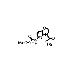 CONC(=O)Nc1ccc2c(n1)N(C(=O)OC(C)(C)C)CCO2